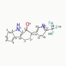 O=C1c2[nH]c3ccccc3c2CCC1c1ccc(C(F)(F)F)nc1